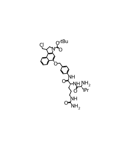 CC(C)[C@H](N)C(=O)N[C@@H](CCCNC(N)=O)C(=O)Nc1ccc(COc2cc3c(c4ccccc24)C(CCl)CN3C(=O)OC(C)(C)C)cc1